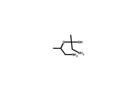 CC(CN)OC(C)(O)CN